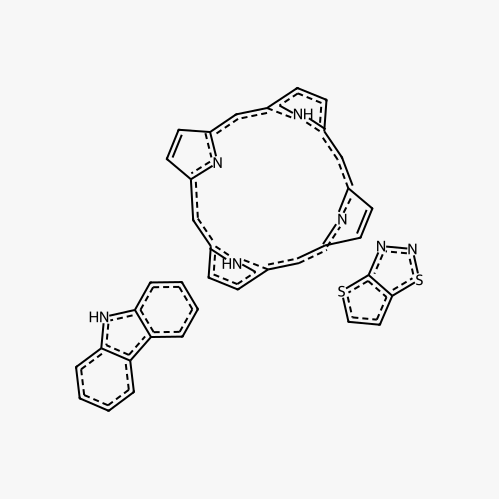 C1=Cc2cc3ccc(cc4nc(cc5ccc(cc1n2)[nH]5)C=C4)[nH]3.c1cc2snnc2s1.c1ccc2c(c1)[nH]c1ccccc12